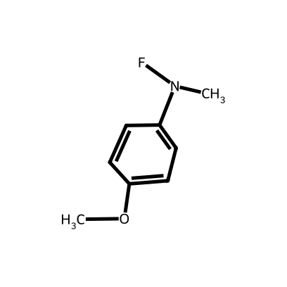 COc1ccc(N(C)F)cc1